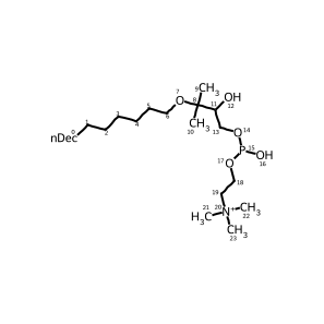 CCCCCCCCCCCCCCCCOC(C)(C)C(O)COP(O)OCC[N+](C)(C)C